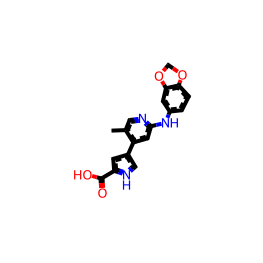 Cc1cnc(Nc2ccc3c(c2)OCO3)cc1-c1c[nH]c(C(=O)O)c1